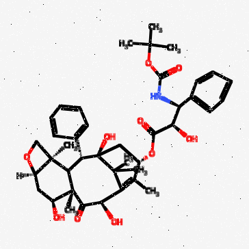 CC1=C2[C@@H](O)C(=O)[C@@]3(C)C([C@H](c4ccccc4)[C@](O)(C[C@@H]1OC(=O)[C@H](O)[C@@H](NC(=O)OC(C)(C)C)c1ccccc1)C2(C)C)[C@]1(C)CO[C@@H]1C[C@@H]3O